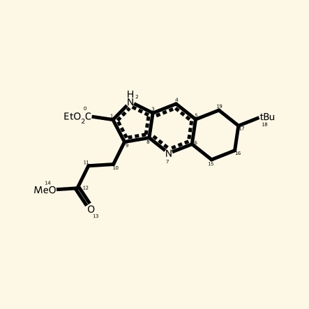 CCOC(=O)c1[nH]c2cc3c(nc2c1CCC(=O)OC)CCC(C(C)(C)C)C3